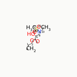 C=CCOC(=O)C(O)CN(CC)S(C)(=O)=O